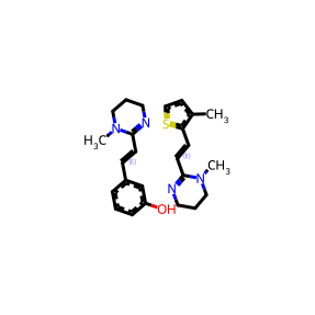 CN1CCCN=C1/C=C/c1cccc(O)c1.Cc1ccsc1/C=C/C1=NCCCN1C